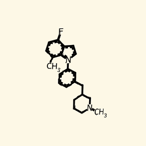 Cc1ccc(F)c2ccn(-c3cccc(CC4CCCN(C)C4)c3)c12